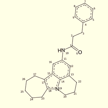 O=C(CCc1ccccc1)Nc1cc2c3c(c1)c1c(n3CCC2)CCCCC1